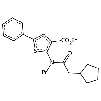 CCOC(=O)c1cc(-c2ccccc2)sc1N(C(=O)CC1CCCC1)C(C)C